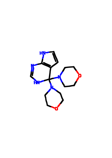 C1=Nc2[nH]ccc2C(N2CCOCC2)(N2CCOCC2)N1